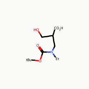 CCN(CC(CO)C(=O)O)C(=O)OC(C)(C)C